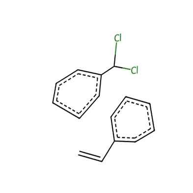 C=Cc1ccccc1.ClC(Cl)c1ccccc1